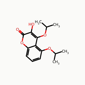 CC(C)Oc1cccc2oc(=O)c(O)c(OC(C)C)c12